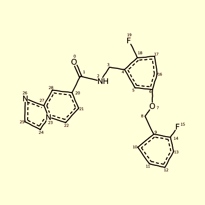 O=C(NCc1cc(OCc2ccccc2F)ccc1F)c1ccn2ccnc2c1